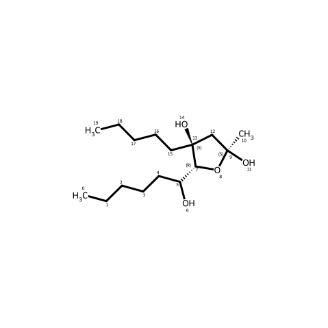 CCCCCC(O)[C@H]1O[C@](C)(O)C[C@@]1(O)CCCCC